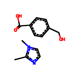 Cc1nccn1C.O=C(O)c1ccc(CO)cc1